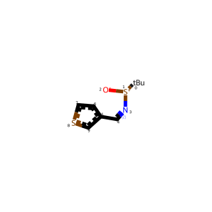 CC(C)(C)[S+]([O-])/N=C\c1ccsc1